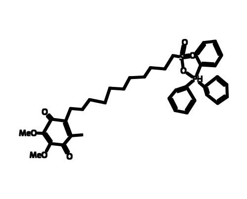 COC1=C(OC)C(=O)C(CCCCCCCCCCCS(=O)(=O)O[PH](c2ccccc2)(c2ccccc2)c2ccccc2)=C(C)C1=O